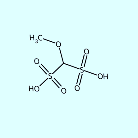 COC(S(=O)(=O)O)S(=O)(=O)O